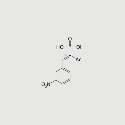 CC(=O)/C(=C\c1cccc([N+](=O)[O-])c1)P(=O)(O)O